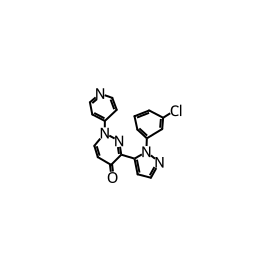 O=c1ccn(-c2ccncc2)nc1-c1ccnn1-c1cccc(Cl)c1